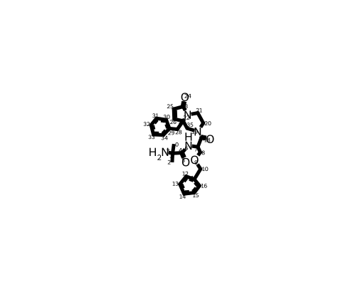 CC(C)(N)C(=O)NC(COCc1ccccc1)C(=O)N1CCN2C(=O)C=CC2(Cc2ccccc2)C1